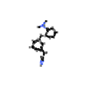 CN(C)c1ccccc1Cc1cccc(CC#N)c1